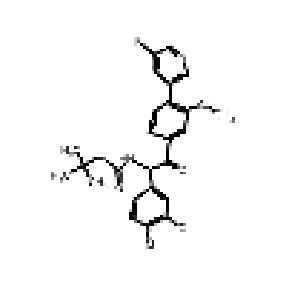 COc1cc(C(=O)C(NC(=O)OC(C)(C)C)c2ccc(Cl)c(Cl)c2)ccc1-c1cncc(F)c1